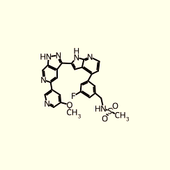 COc1cncc(-c2cc3c(-c4cc5c(-c6cc(F)cc(CNS(C)(=O)=O)c6)ccnc5[nH]4)n[nH]c3cn2)c1